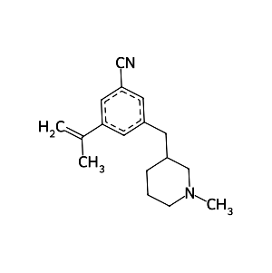 C=C(C)c1cc(C#N)cc(CC2CCCN(C)C2)c1